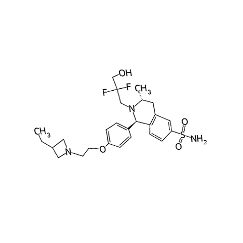 CCC1CN(CCOc2ccc([C@@H]3c4ccc(S(N)(=O)=O)cc4C[C@@H](C)N3CC(F)(F)CO)cc2)C1